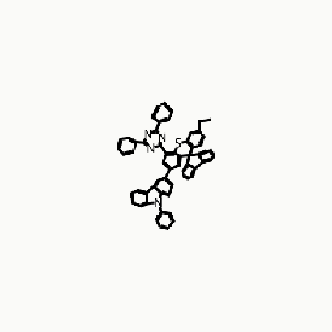 CCc1ccc2c(c1)Sc1c(-c3nc(-c4ccccc4)nc(-c4ccccc4)n3)cc(-c3ccc4c(c3)c3ccccc3n4-c3ccccc3)cc1C21c2ccccc2-c2ccccc21